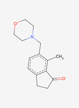 Cc1c(CN2CCOCC2)ccc2c1C(=O)CC2